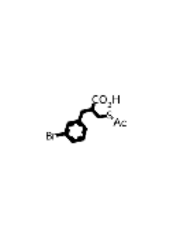 CC(=O)SCC(Cc1cccc(Br)c1)C(=O)O